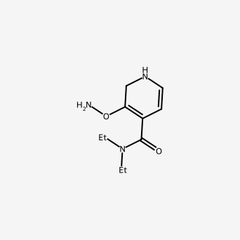 CCN(CC)C(=O)C1=C(ON)CNC=C1